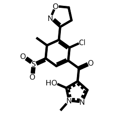 CC1C(C2=NOCC2)=C(Cl)C(C(=O)c2cnn(C)c2O)=CC1=S(=O)=O